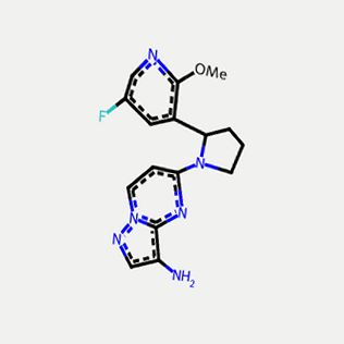 COc1ncc(F)cc1C1CCCN1c1ccn2ncc(N)c2n1